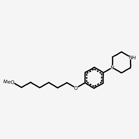 COCCCCCCOc1ccc(N2CCNCC2)cc1